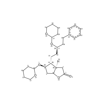 O=C1C[C@H]2C(C[C@@H](OC3CCCCO3)[C@@H]2CC[C@H](CCc2ccccc2)OC2CCCCO2)O1